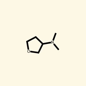 CN(C)C1CCOC1